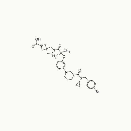 CC(C)(Oc1cccc(N2CCCC(C(=O)N(Cc3ccc(Br)cc3)C3CC3)C2)c1)C(=O)N1CCC2(CN(C(=O)O)C2)C1